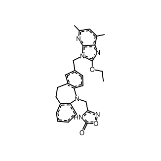 CCOc1nc2c(C)cc(C)nc2n1Cc1ccc2c(c1)CCc1ccccc1N2Cc1noc(=O)[nH]1